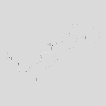 CCNc1nc(C)c(-c2ccnc(Nc3ccc(N4CCCCC4)c(C)c3)n2)s1